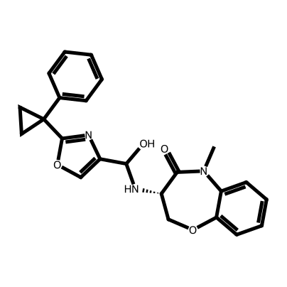 CN1C(=O)[C@@H](NC(O)c2coc(C3(c4ccccc4)CC3)n2)COc2ccccc21